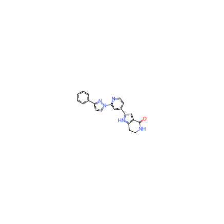 O=C1NCCc2[nH]c(-c3ccnc(-n4ccc(-c5ccccc5)n4)c3)cc21